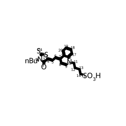 CCCCN1C(=O)C(=CC=C2C=CN(CCCCS(=O)(=O)O)c3ccccc32)SC1=S